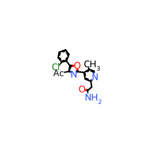 CC(=O)c1nc(-c2cc(CC(N)=O)ncc2C)oc1-c1ccccc1Cl